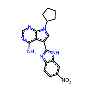 Nc1ncnc2c1c(-c1nc3ccc([N+](=O)[O-])cc3[nH]1)cn2C1CCCC1